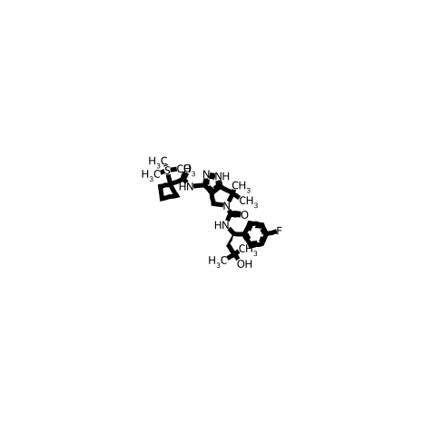 CC(C)(O)C[C@@H](NC(=O)N1Cc2c(NC(=O)C3(S(C)(C)C)CCC3)n[nH]c2C1(C)C)c1ccc(F)cc1